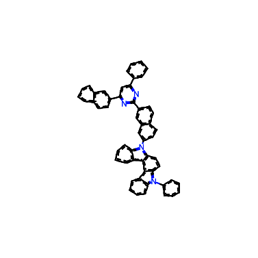 c1ccc(-c2cc(-c3ccc4ccccc4c3)nc(-c3ccc4ccc(-n5c6ccccc6c6c7c8ccccc8n(-c8ccccc8)c7ccc65)cc4c3)n2)cc1